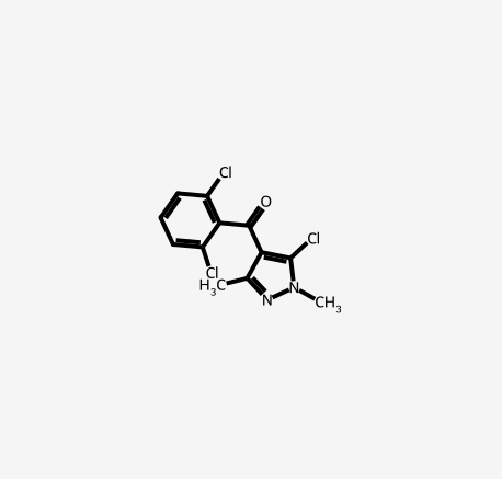 Cc1nn(C)c(Cl)c1C(=O)c1c(Cl)cccc1Cl